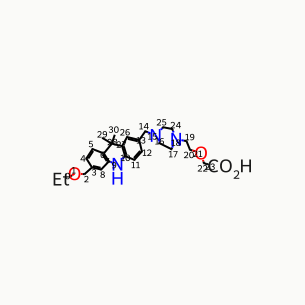 CCOCc1ccc2c(c1)Nc1ccc(CN3CCN(CCOCC(=O)O)CC3)cc1C2(C)C